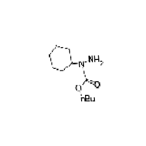 CCCCOC(=O)N(N)C1CCCCC1